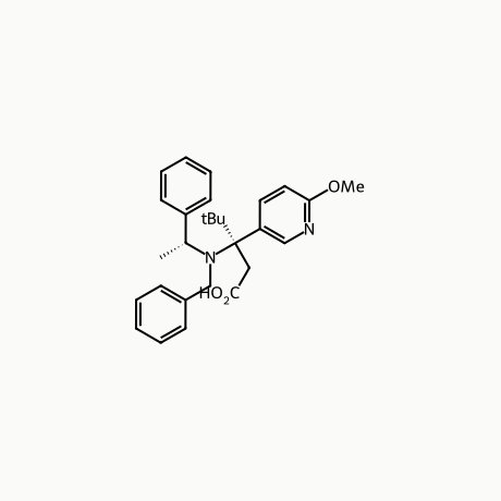 COc1ccc([C@@](CC(=O)O)(N(Cc2ccccc2)[C@H](C)c2ccccc2)C(C)(C)C)cn1